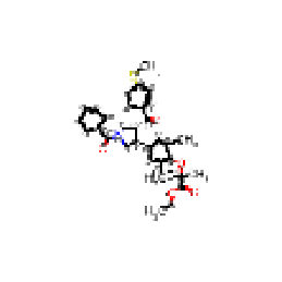 CCOC(=O)C(C)(C)Oc1c(C)cc([C@H]2CN(C(=O)c3ccccc3)C[C@@H]2C(=O)c2ccc(SC)cc2)cc1C